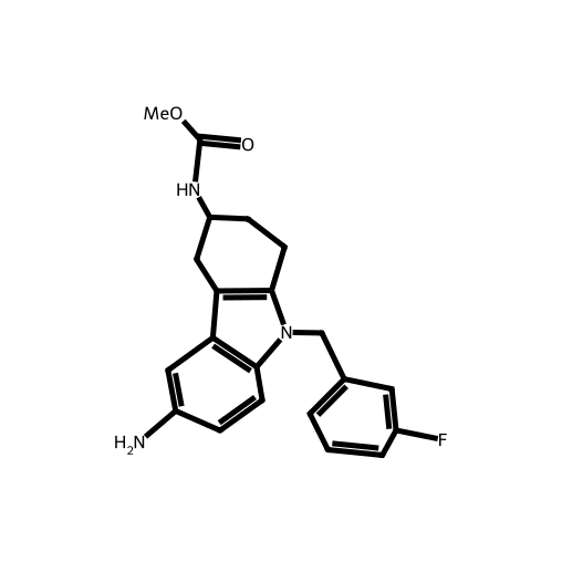 COC(=O)NC1CCc2c(c3cc(N)ccc3n2Cc2cccc(F)c2)C1